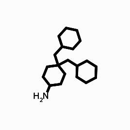 NC1CCC(CC2CCCCC2)(CC2CCCCC2)CC1